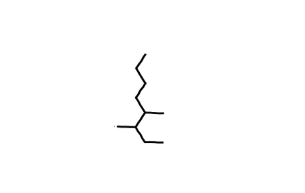 [CH2]C(CC)C(C)CCCC